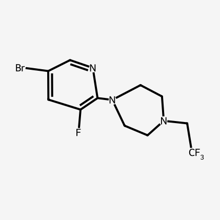 Fc1cc(Br)cnc1N1CCN(CC(F)(F)F)CC1